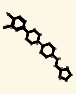 Fc1ccc(C2CCC([C@H]3CC[C@H](CCC4OCCO4)CC3)CC2)cc1Cl